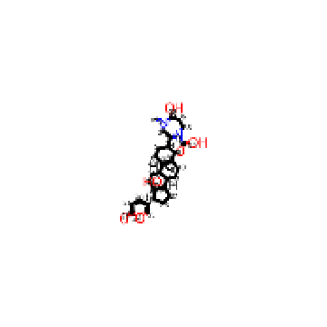 CN1CC(C2CC[C@]3(C)C(CC[C@@H]4[C@@H]3CC[C@]3(C)[C@@H](c5ccc(=O)oc5)CC[C@]43O)C2)N(C(=O)O)CC[C@@H]1O